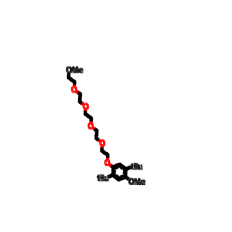 COCCOCCOCCOCCOCCOc1cc(C(C)(C)C)c(OC)cc1C(C)(C)C